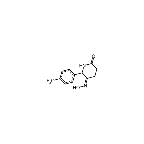 O=C1CCC(=NO)C(c2ccc(C(F)(F)F)cc2)N1